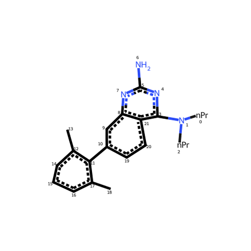 CCCN(CCC)c1nc(N)nc2cc(-c3c(C)cccc3C)ccc12